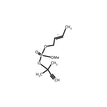 C#CC(C)(C)OP(=O)(OC)OC/C=C/C